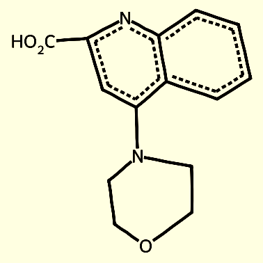 O=C(O)c1cc(N2CCOCC2)c2ccccc2n1